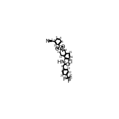 N#Cc1cccc(S(=O)(=O)N2CCc3c(ccc(Cl)c3NC(=O)Cc3ccc(C(F)(F)F)cc3)C2)c1